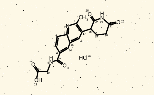 Cc1nc2ccc(C(=O)NCC(=O)O)cc2cc1C1CCC(=O)NC1=O.Cl